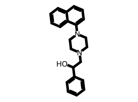 OC(CN1CCN(c2cccc3ccccc23)CC1)c1ccccc1